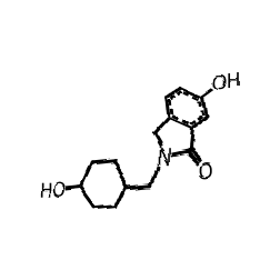 O=C1c2cc(O)ccc2CN1CC1CCC(O)CC1